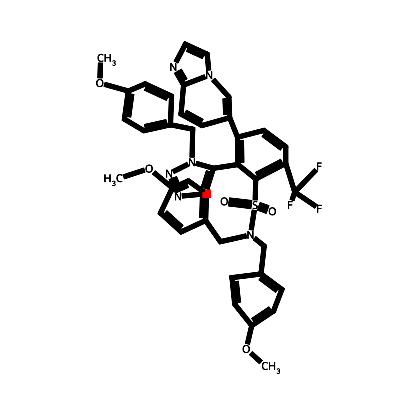 COc1ccc(CN(Cc2ccc(OC)cc2)S(=O)(=O)c2c(C(F)(F)F)ccc(-c3ccc4nccn4c3)c2-c2nnnn2Cc2ccc(OC)cc2)cc1